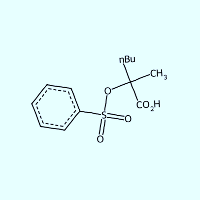 CCCCC(C)(OS(=O)(=O)c1ccccc1)C(=O)O